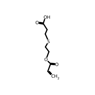 C=CC(=O)OCCSCCC(=O)O